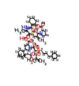 CCC(=O)OC(O[P@](=O)(CCCCc1ccccc1)CC(=O)N1C[C@H](C2CCCCC2)C[C@H]1C(=O)O)C(C)C.C[C@H](CSC(=O)[C@@H](C)NC(=O)C1CCCCC1)C(=O)N1CCC[C@H]1C(=O)O